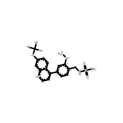 [2H]C([2H])([2H])Oc1ccc2c(-c3ccc(CNS(N)(=O)=O)c(OC)c3)ccnc2c1